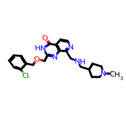 CN1CCC(CNCc2nccc3c(=O)[nH]c(COCc4ccccc4Cl)nc23)CC1